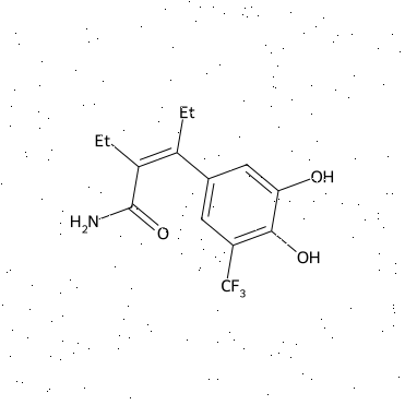 CCC(C(N)=O)=C(CC)c1cc(O)c(O)c(C(F)(F)F)c1